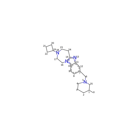 CC1CCCN(Cc2ccc3c(c2)nc2n3CCN(C3CCC3)CC2)C1